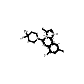 Cc1cc(Br)c2nc(N3CCC(F)(F)CC3)n3c(C)cnc3c2c1